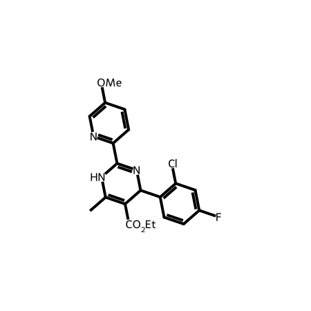 CCOC(=O)C1=C(C)NC(c2ccc(OC)cn2)=NC1c1ccc(F)cc1Cl